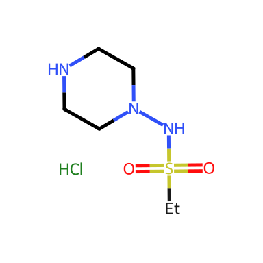 CCS(=O)(=O)NN1CCNCC1.Cl